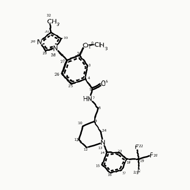 COc1cc(C(=O)NCC2CCCN(c3cccc(C(F)(F)F)c3)C2)ccc1-n1cnc(C)c1